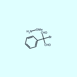 CON.O=CC(Br)(C=O)c1ccccc1